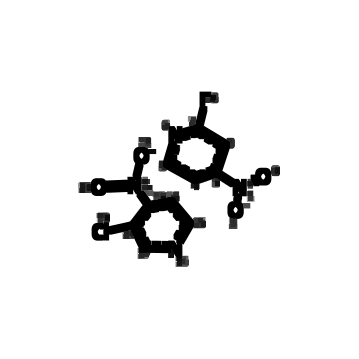 O=[N+]([O-])c1ccnc(F)c1.O=[N+]([O-])c1ccncc1Cl